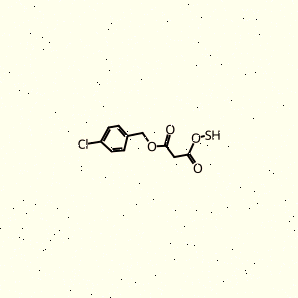 O=C(CC(=O)OCc1ccc(Cl)cc1)OS